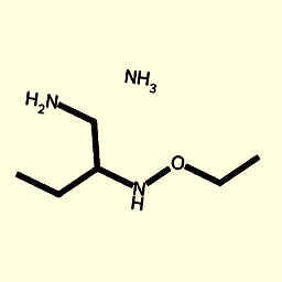 CCONC(CC)CN.N